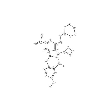 COc1ccc(Cn2nc(C3CCC3)c3c(OCC4CCOCC4)cc(C(=O)O)nc32)c(OC)c1